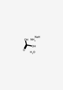 N.O.O=C(O)O.[NaH]